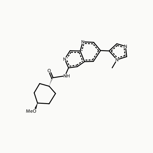 CO[C@H]1CC[C@H](C(=O)Nc2cc3cc(-c4cncn4C)cnc3cn2)CC1